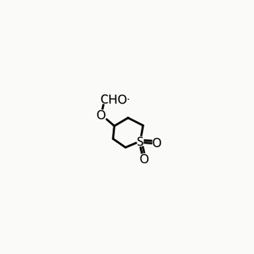 O=[C]OC1CCS(=O)(=O)CC1